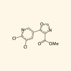 COC(=O)c1ncoc1-c1cnc(Cl)c(Cl)c1